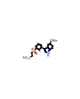 COc1ccc2[nH]cc(-c3cccc(S(=O)(=O)CCC(=O)O)c3)c2c1